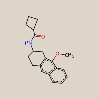 COc1c2c(cc3ccccc13)CCC(NC(=O)C1CCC1)C2